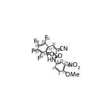 COc1ccc(NS(=O)(=O)/C(C#N)=C\c2c(F)c(F)c(F)c(F)c2F)cc1[N+](=O)[O-]